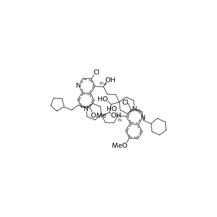 COc1ccc2ncc(Cl)c([C@@H](O)CCC3(C(O)C(O)C4(CC[C@H](O)c5c(Cl)cnc6ccc(OC)cc56)CCN(CCC5CCCC5)CC4)CCN(CCC4CCCCC4)CC3)c2c1